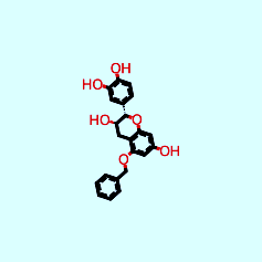 Oc1cc(OCc2ccccc2)c2c(c1)O[C@@H](c1ccc(O)c(O)c1)[C@H](O)C2